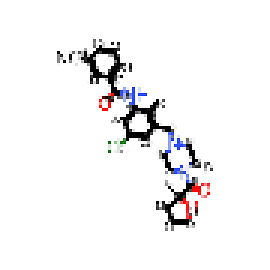 Cc1c(CN2CCN(C(=O)[C@]3(C)CCCO3)[C@@H](C)C2)cc(Cl)cc1NC(=O)c1cccc(C#N)c1